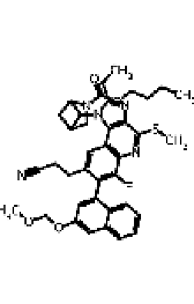 CCCCOC(=O)N1CC2CC1C2n1c(CC)nc2c(SC)nc3c(F)c(-c4cc(OCOC)cc5ccccc45)c(CCC#N)cc3c21